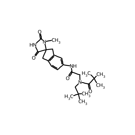 CN1C(=O)NC(=O)C12Cc1ccc(NC(=O)CN(CC(C)(C)C)C(=O)C(C)(C)C)cc1C2